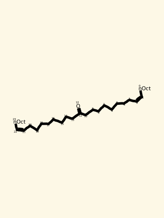 CCCCCCCC/C=C\CCCCCCCCC(=O)CCCCCCCC/C=C\CCCCCCCC